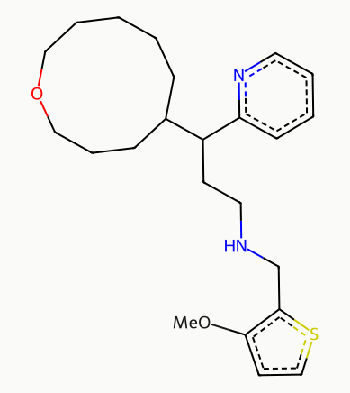 COc1ccsc1CNCCC(c1ccccn1)C1CCCCCOCCC1